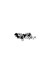 Nc1ccsc1CC(=O)NC1C(=O)N2C(C(=O)O)=C(CSc3[nH]nnc3C(=O)O)CS[C@H]12